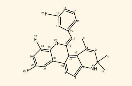 CC1=CC(C)(C)Nc2ccc3c(c21)C(=Cc1cccc(F)c1)Oc1c(F)cc(F)cc1-3